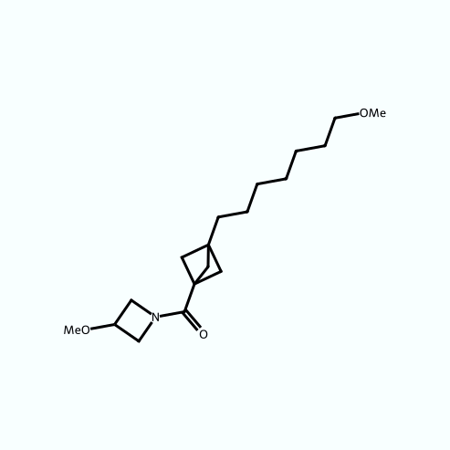 COCCCCCCCC12CC(C(=O)N3CC(OC)C3)(C1)C2